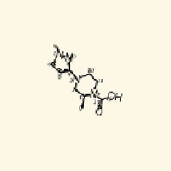 CC1CN(c2ccn(C)n2)CCN1C(=O)O